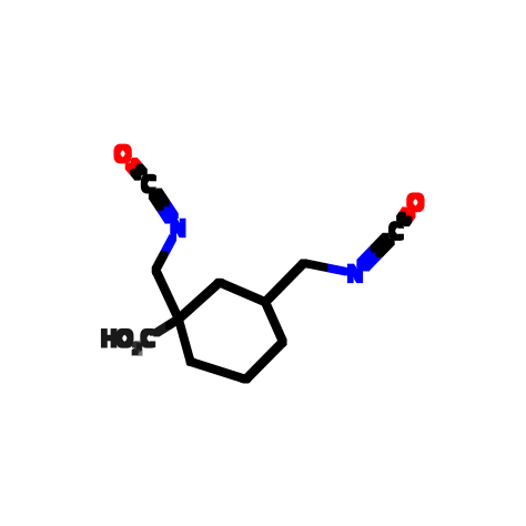 O=C=NCC1CCCC(CN=C=O)(C(=O)O)C1